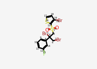 O=S(=O)(CC(Br)(CBr)c1cccc(F)c1)c1sccc1Br